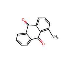 O=C1c2ccccc2C(=O)c2[c]([AlH2])cccc21